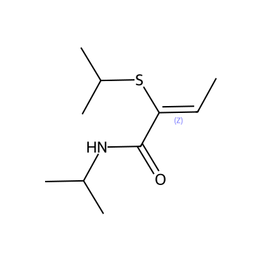 C/C=C(\SC(C)C)C(=O)NC(C)C